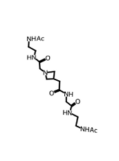 CC(=O)NCCNC(=O)CNC(=O)CC1CN(CC(=O)NCCNC(C)=O)C1